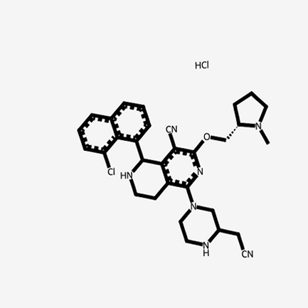 CN1CCC[C@H]1COc1nc(N2CCNC(CC#N)C2)c2c(c1C#N)C(c1cccc3cccc(Cl)c13)NCC2.Cl